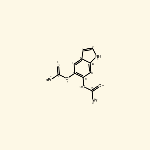 CCCC(=O)Oc1cc2cc[nH]c2cc1OC(=O)CCC